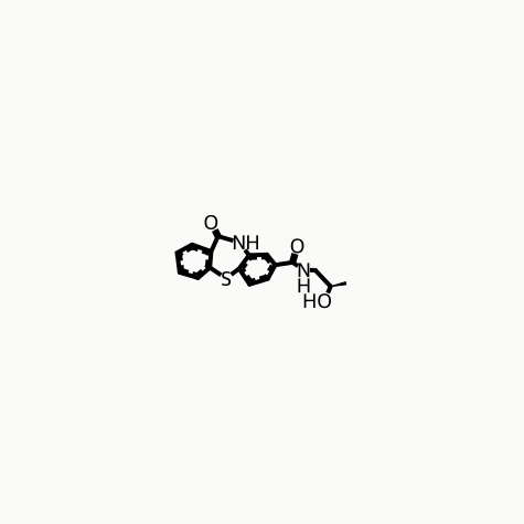 C[C@@H](O)CNC(=O)c1ccc2c(c1)NC(=O)c1ccccc1S2